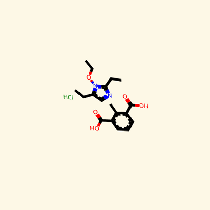 CCOn1c(CC)cnc1CC.Cc1c(C(=O)O)cccc1C(=O)O.Cl